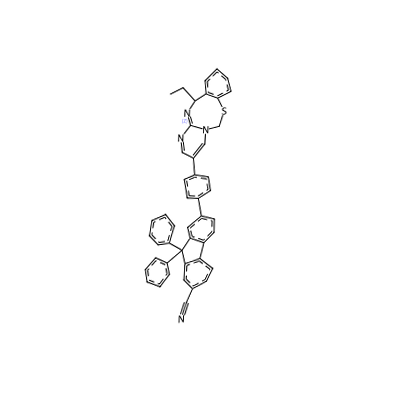 CCC1/N=C2/N=CC(c3ccc(-c4ccc5c(c4)C(c4ccccc4)(c4ccccc4)c4cc(C#N)ccc4-5)cc3)=CN2CSc2ccccc21